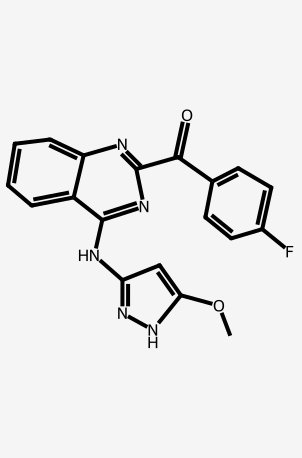 COc1cc(Nc2nc(C(=O)c3ccc(F)cc3)nc3ccccc23)n[nH]1